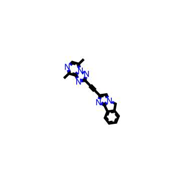 Cc1ncc(C)n2nc(C#Cc3cn4c(n3)-c3ccccc3C4)nc12